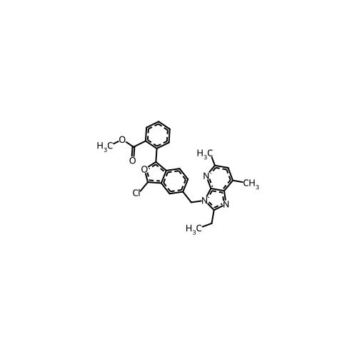 CCc1nc2c(C)cc(C)nc2n1Cc1ccc2c(-c3ccccc3C(=O)OC)oc(Cl)c2c1